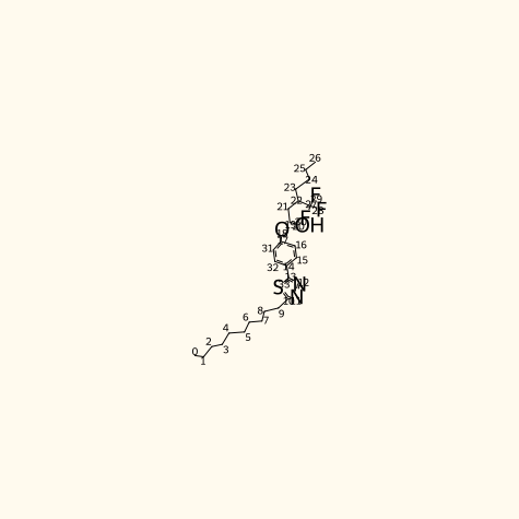 CCCCCCCCCCc1nnc(-c2ccc(OC(O)CC(CCCC)C(F)(F)F)cc2)s1